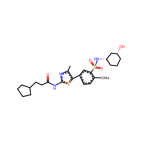 COc1ccc(-c2sc(NC(=O)CCC3CCCC3)nc2C)cc1S(=O)(=O)N[C@H]1CCC[C@@H](O)C1